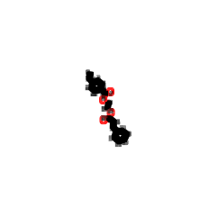 C=Cc1ccc(C(=O)OCCOC(=O)/C=C/c2ccccc2)cc1